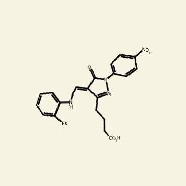 CCc1ccccc1N/C=C1/C(=O)N(c2ccc([N+](=O)[O-])cc2)N=C1CCCC(=O)O